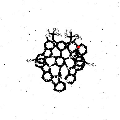 Cc1ccc2c(c1)c1cc(C)ccc1n2-c1c(-c2cc(CC(C)(C)C)cc(CC(C)(C)C)c2)c(-n2c3ccc(C)cc3c3cc(C)ccc32)c(-n2c3ccccc3c3ccc4c5ccccc5sc4c32)c(C#N)c1-n1c2ccccc2c2ccc3c4ccccc4sc3c21